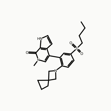 CCCCS(=O)(=O)c1ccc(N2CC3(CCC3)C2)c(-c2cn(C)c(=O)c3[nH]ccc23)c1